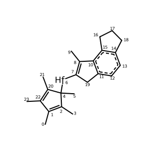 CC1=C(C)[C](C)([Hf][C]2=C(C)c3c(ccc4c3CCC4)C2)C(C)=C1C